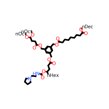 CCCCCCCCCCOC(=O)CCCCCCCC(=O)OCc1cc(COC(=O)CCC(CCCCCC)OC(=O)NCCN2CCCC2)cc(COC(=O)CCC(OCCCCCCCC)OCCCCCCCC)c1